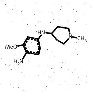 COc1cc(NC2CCN(C)CC2)ccc1N